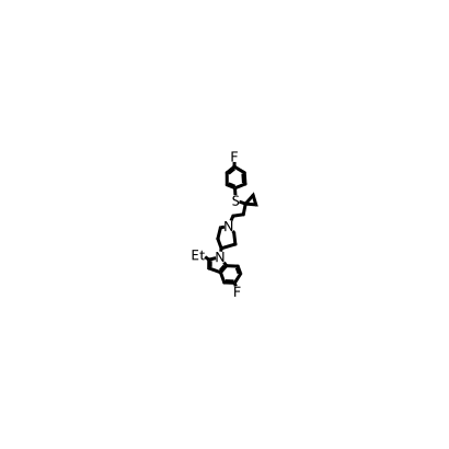 CCc1cc2cc(F)ccc2n1C1CCN(CCC2(Sc3ccc(F)cc3)CC2)CC1